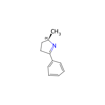 C[C@@H]1CCC(c2ccccc2)=N1